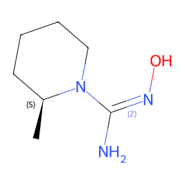 C[C@H]1CCCCN1/C(N)=N\O